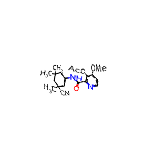 COc1ccnc(C(=O)NC2CC(C)(C)CC(C)(C#N)C2)c1OC(C)=O